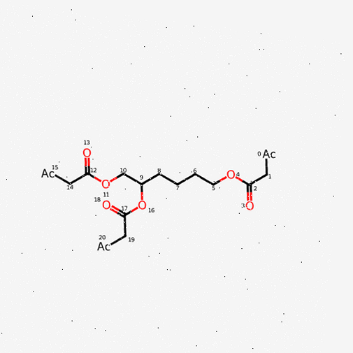 CC(=O)CC(=O)OCCCCC(COC(=O)CC(C)=O)OC(=O)CC(C)=O